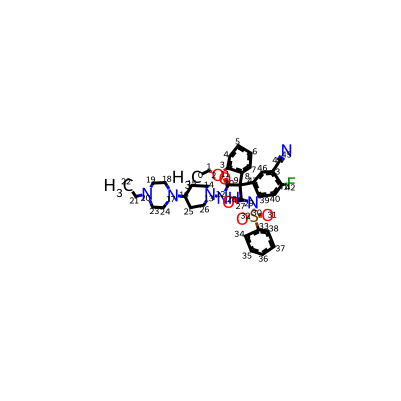 CCOc1ccccc1C1(C(=O)NN2CCC(N3CCN(CC)CC3)CC2)C(=O)N(S(=O)(=O)c2ccccc2)c2cc(F)c(C#N)cc21